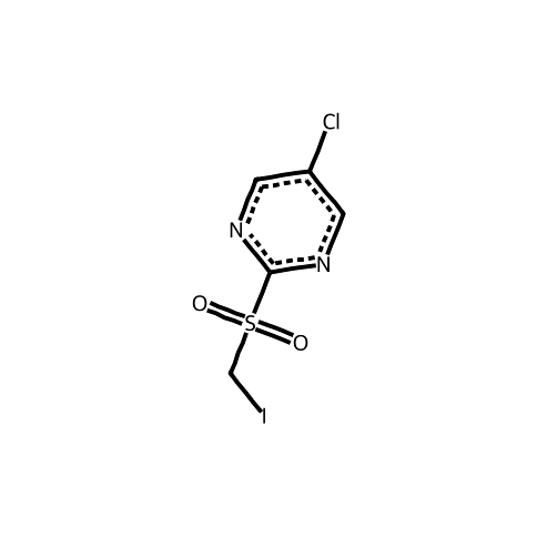 O=S(=O)(CI)c1ncc(Cl)cn1